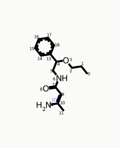 CCCOC(CNC(=O)/C=C(/C)N)c1ccccc1